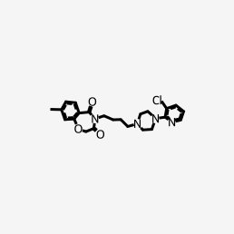 Cc1ccc2c(c1)OCC(=O)N(CCCCN1CCN(c3ncccc3Cl)CC1)C2=O